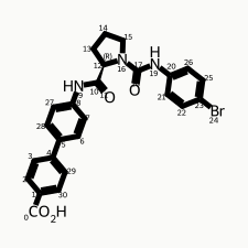 O=C(O)c1ccc(-c2ccc(NC(=O)[C@H]3CCCN3C(=O)Nc3ccc(Br)cc3)cc2)cc1